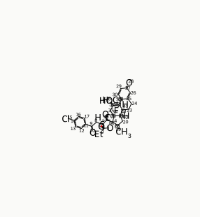 CCC(=O)O[C@]1(C(=O)SCC(=O)c2ccc(Cl)cc2)[C@@H](C)C[C@H]2[C@@H]3CCC4=CC(=O)C=C[C@]4(C)[C@@]3(F)[C@@H](O)C[C@@]21C